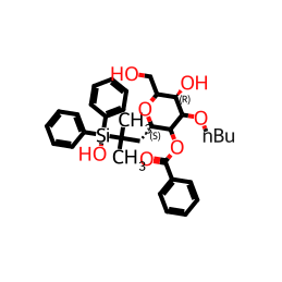 CCCCOC1C(OC(=O)c2ccccc2)[C@H](CC(C)(C)[Si](O)(c2ccccc2)c2ccccc2)OC(CO)[C@H]1O